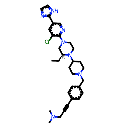 CC[C@H]1CN(c2ncc(-c3ncc[nH]3)cc2Cl)CCN1C1CCN(Cc2ccc(C#CCN(C)C)cc2)CC1